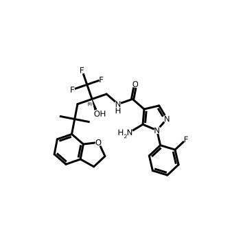 CC(C)(C[C@@](O)(CNC(=O)c1cnn(-c2ccccc2F)c1N)C(F)(F)F)c1cccc2c1OCC2